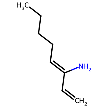 C=CC(N)=CCCCC